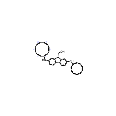 OCC1c2cc(NC3=C/C=C\C=C/C=C\C=C/C=C\3)ccc2-c2ccc(Nc3ccccccccc3)cc21